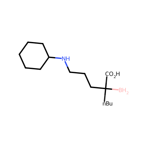 BC(CCCC)(CCCNC1CCCCC1)C(=O)O